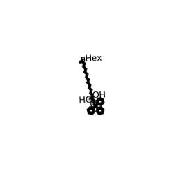 CCCCCCC(C)CCCCCCCCCCCCC(O)[C@@H](O)COC(c1ccccc1)(c1ccccc1)c1ccccc1